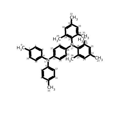 Cc1ccc(N(c2ccc(C)cc2)c2ccc(N(c3c(C)cc(C)cc3C)c3c(C)cc(C)cc3C)cc2)cc1